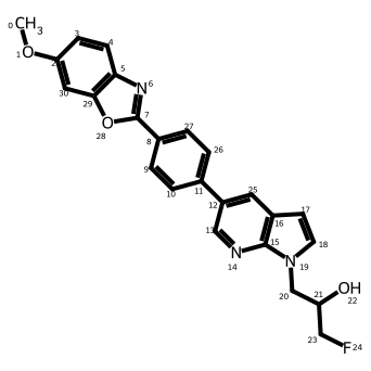 COc1ccc2nc(-c3ccc(-c4cnc5c(ccn5CC(O)CF)c4)cc3)oc2c1